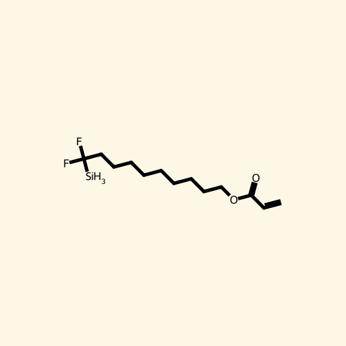 C=CC(=O)OCCCCCCCCCC(F)(F)[SiH3]